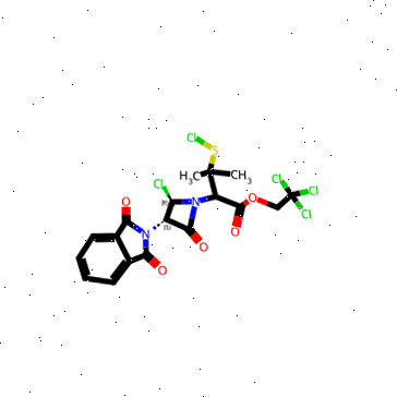 CC(C)(SCl)C(C(=O)OCC(Cl)(Cl)Cl)N1C(=O)[C@H](N2C(=O)c3ccccc3C2=O)[C@H]1Cl